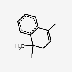 CC1(I)CC=C(I)c2ccccc21